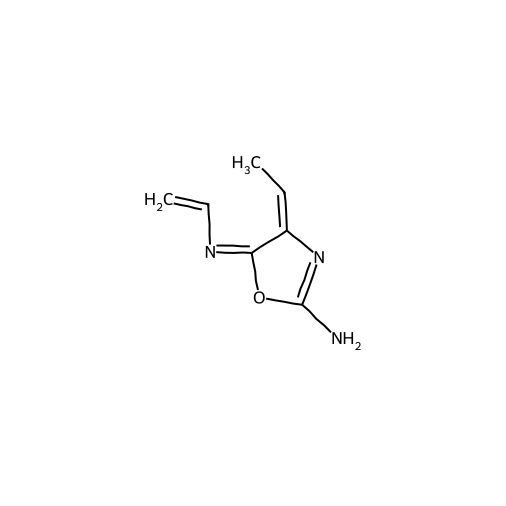 C=C/N=C1/OC(N)=N/C1=C/C